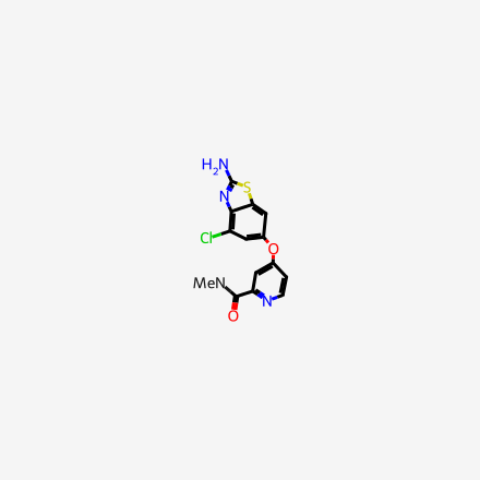 CNC(=O)c1cc(Oc2cc(Cl)c3nc(N)sc3c2)ccn1